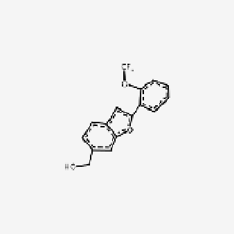 OCc1ccc2cc(-c3ccccc3OC(F)(F)F)oc2c1